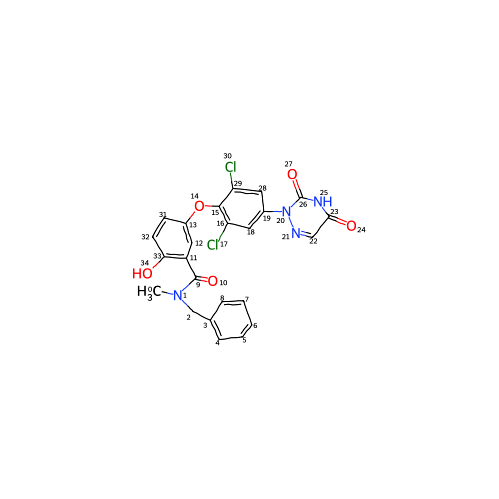 CN(Cc1ccccc1)C(=O)c1cc(Oc2c(Cl)cc(-n3ncc(=O)[nH]c3=O)cc2Cl)ccc1O